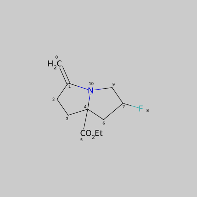 C=C1CCC2(C(=O)OCC)CC(F)CN12